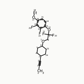 CC#CC1CCC(OCC(F)(F)Oc2ccc(OCC)c(F)c2F)CC1